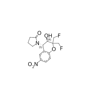 O=C1CCCN1[C@H]1c2cc([N+](=O)[O-])ccc2OC(CF)(CF)[C@@H]1O